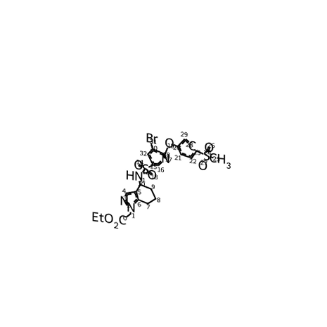 CCOC(=O)Cn1ncc2c1CCCC2NS(=O)(=O)c1cnc(Oc2ccc(S(C)(=O)=O)cc2)c(Br)c1